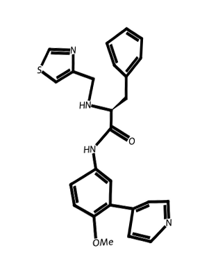 COc1ccc(NC(=O)[C@H](Cc2ccccc2)NCc2cscn2)cc1-c1ccncc1